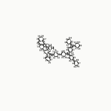 CC1(C)c2cc3c(cc2-c2ccc4c(c21)Sc1ccccc1S4)c1ccccc1n3-c1ccc(-c2ccc(N(c3ccc(-c4ccccc4)cc3)c3ccc(N(c4ccccc4)c4ccccc4)cc3)cc2)cc1